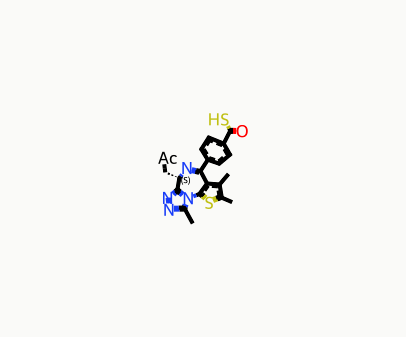 CC(=O)C[C@@H]1N=C(c2ccc(C(=O)S)cc2)c2c(sc(C)c2C)-n2c(C)nnc21